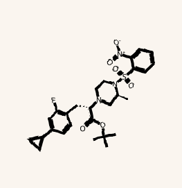 C[C@H]1CN([C@@H](Cc2ccc(C3CC3)cc2F)C(=O)OC(C)(C)C)CCN1S(=O)(=O)c1ccccc1[N+](=O)[O-]